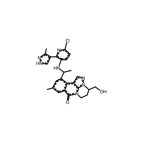 Cc1cc(C(C)Nc2ccc(Cl)nc2-c2c[nH]nc2C)c2c(c1)c(=O)n1c3c2cnn3C(CO)CC1